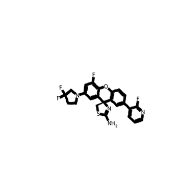 NC1=N[C@@]2(CS1)c1cc(-c3cccnc3F)ccc1Oc1c(F)cc(N3CCC(F)(F)C3)cc12